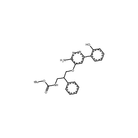 CC(C)(C)OC(=O)NCC(COc1cc(-c2ccccc2O)nnc1N)c1ccccc1